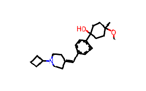 COC1(C)CCC(O)(c2ccc(C=C3CCN(C4CCC4)CC3)cc2)CC1